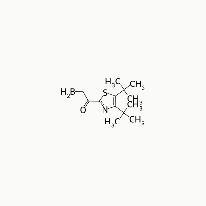 BCC(=O)c1nc(C(C)(C)C)c(C(C)(C)C)s1